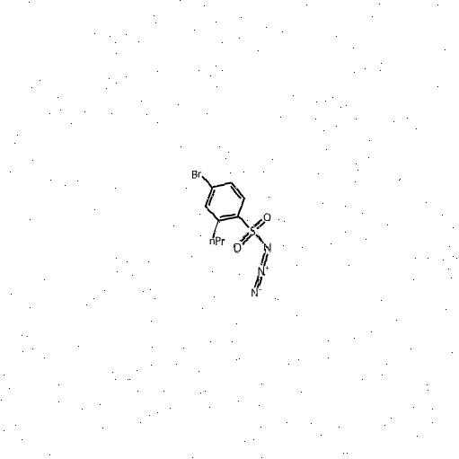 CCCc1cc(Br)ccc1S(=O)(=O)N=[N+]=[N-]